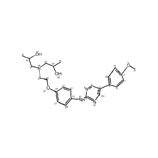 COc1ccc(-c2cnc(Nc3ccc(OCCN(CC(C)O)CC(C)O)cc3)nc2)cc1